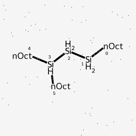 CCCCCCCC[SiH2][SiH2][SiH](CCCCCCCC)CCCCCCCC